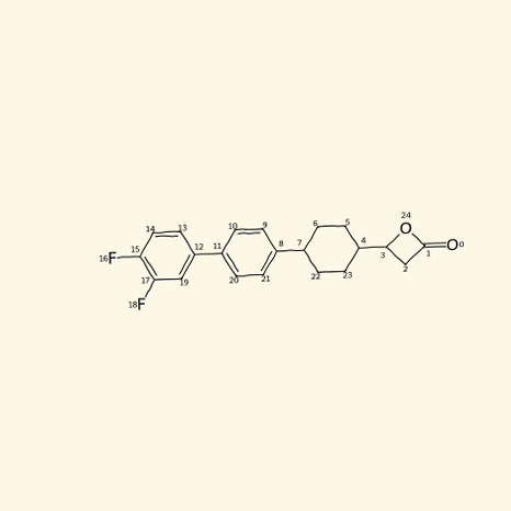 O=C1CC(C2CCC(c3ccc(-c4ccc(F)c(F)c4)cc3)CC2)O1